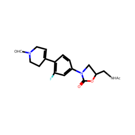 CC(=O)NCC1CN(c2ccc(C3=CCN(C=O)CC3)c(F)c2)C(=O)O1